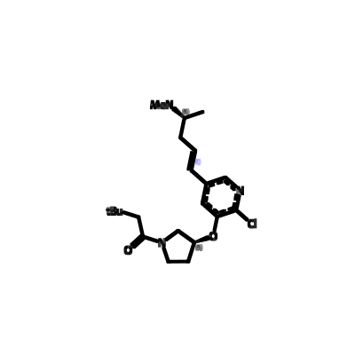 CN[C@@H](C)C/C=C/c1cnc(Cl)c(O[C@H]2CCN(C(=O)CC(C)(C)C)C2)c1